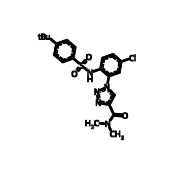 CN(C)C(=O)c1cn(-c2cc(Cl)ccc2NS(=O)(=O)c2ccc(C(C)(C)C)cc2)nn1